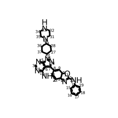 Nc1ncnc2c1c(C1=CC3OC(Nc4ccccc4)=NC3C=C1)nn2[C@H]1CC[C@H](N2CCNCC2)CC1